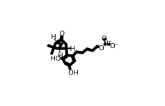 CC1(C)[C@@H]2C[C@H]1[C@@H](c1c(O)cc(O)cc1CCCCCO[N+](=O)[O-])CC2=O